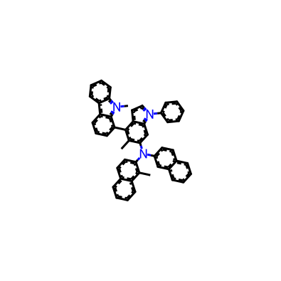 Cc1c(N(c2ccc3ccccc3c2)c2ccc3ccccc3c2C)cc2c(ccn2-c2ccccc2)c1-c1cccc2c3ccccc3n(C)c12